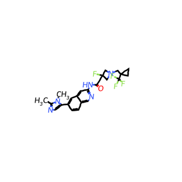 Cc1ncc(-c2ccc3cnc(NC(=O)C4(F)CN(CC5(C(F)(F)F)CC5)C4)cc3c2)n1C